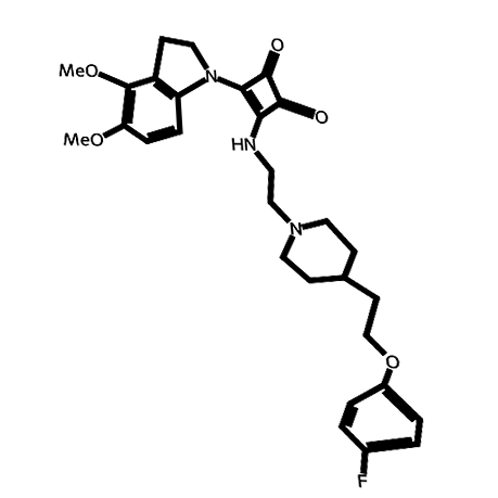 COc1ccc2c(c1OC)CCN2c1c(NCCN2CCC(CCOc3ccc(F)cc3)CC2)c(=O)c1=O